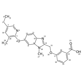 CCc1cnc(OC2=CC3C(C=C2)N=C(COc2cccc(C(=O)O)c2)N3C)c(C)c1